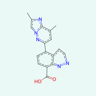 Cc1cn2nc(-c3ccc(C(=O)O)c4nnccc34)cc(C)c2n1